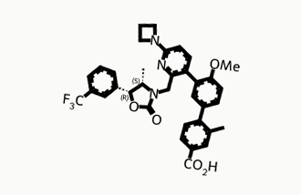 COc1ccc(-c2ccc(C(=O)O)cc2C)cc1-c1ccc(N2CCC2)nc1CN1C(=O)O[C@H](c2cccc(C(F)(F)F)c2)[C@@H]1C